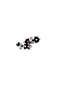 CC(C)(C)OC(=O)N1CC2CON(C(=S)NC(=O)c3ccccc3)C2(c2cccs2)C1